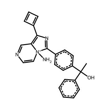 CC(O)(c1ccccc1)c1ccc(C2=NC(C3=CC=C3)=C3C=NC=C[N+]23N)cc1